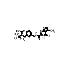 Cc1csc2nc(C(=O)NCc3cccc(CN(C(=O)O)C(C)(C)C)c3)[nH]c(=O)c12